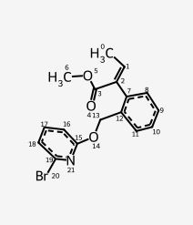 CC=C(C(=O)OC)c1ccccc1COc1cccc(Br)n1